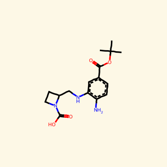 CC(C)(C)OC(=O)c1ccc(N)c(NCC2CCN2C(=O)O)c1